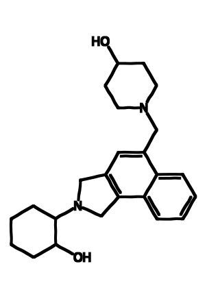 OC1CCN(Cc2cc3c(c4ccccc24)CN(C2CCCCC2O)C3)CC1